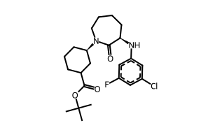 CC(C)(C)OC(=O)C1CCC[C@@H](N2CCCC[C@@H](Nc3cc(F)cc(Cl)c3)C2=O)C1